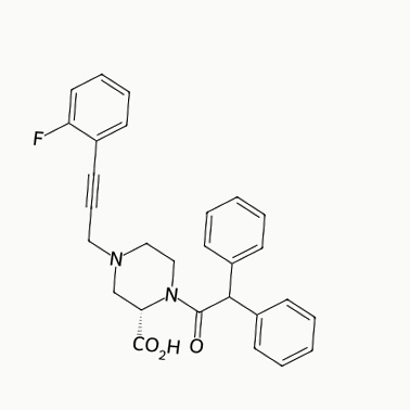 O=C(O)[C@@H]1CN(CC#Cc2ccccc2F)CCN1C(=O)C(c1ccccc1)c1ccccc1